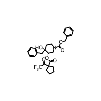 O=C(OCc1ccccc1)N1CC[C@@](O)(Cc2ccccc2)[C@@H](OC(=O)C2(C(=O)C(F)(F)F)CCCC2)C1